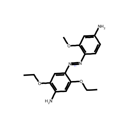 CCOc1cc(/N=N/c2ccc(N)cc2OC)c(OCC)cc1N